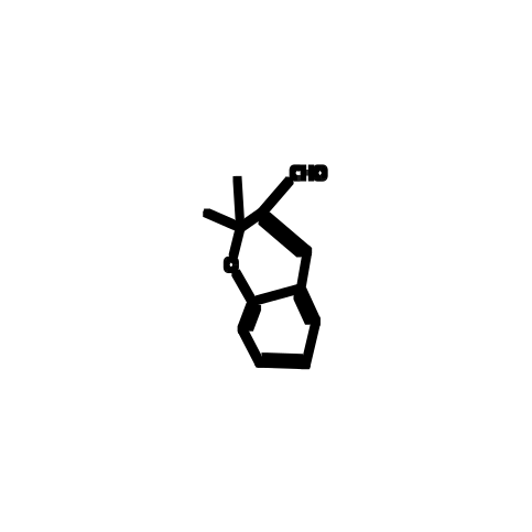 CC1(C)Oc2ccccc2C=C1C=O